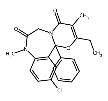 CCC1=C(C)C(=O)N2CC(=O)N(C)c3ccc(Cl)cc3C2(c2ccccc2)O1